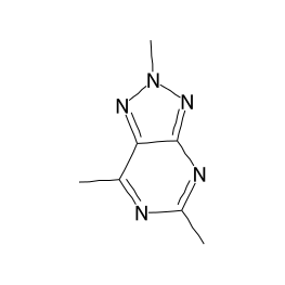 Cc1nc(C)c2nn(C)nc2n1